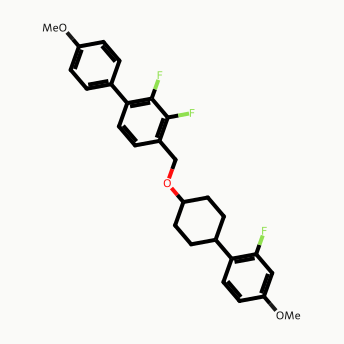 COc1ccc(-c2ccc(COC3CCC(c4ccc(OC)cc4F)CC3)c(F)c2F)cc1